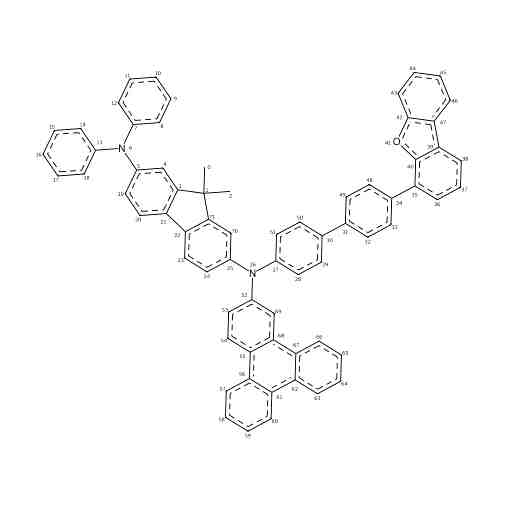 CC1(C)c2cc(N(c3ccccc3)c3ccccc3)ccc2-c2ccc(N(c3ccc(-c4ccc(-c5cccc6c5oc5ccccc56)cc4)cc3)c3ccc4c5ccccc5c5ccccc5c4c3)cc21